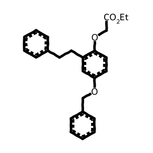 CCOC(=O)COc1ccc(OCc2ccccc2)cc1CCc1ccccc1